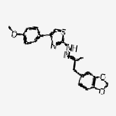 COc1ccc(-c2csc(N/N=C(\C)Cc3ccc4c(c3)OCO4)n2)cc1